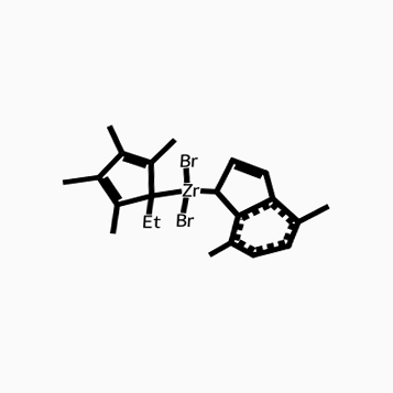 CC[C]1([Zr]([Br])([Br])[CH]2C=Cc3c(C)ccc(C)c32)C(C)=C(C)C(C)=C1C